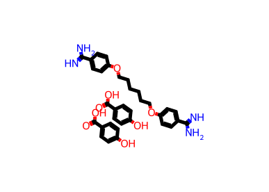 N=C(N)c1ccc(OCCCCCCOc2ccc(C(=N)N)cc2)cc1.O=C(O)c1ccc(O)cc1.O=C(O)c1ccc(O)cc1